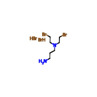 Br.Br.NCCCN(CCBr)CCBr